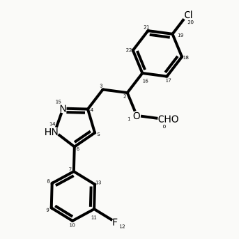 O=COC(Cc1cc(-c2cccc(F)c2)[nH]n1)c1ccc(Cl)cc1